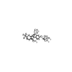 CCS(=O)(=O)c1cc(OC[Si](C)(C)C)cnc1-c1nc2cc(C(F)(F)F)ncc2n1C